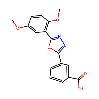 COc1ccc(OC)c(-c2nnc(-c3cccc(C(=O)O)c3)o2)c1